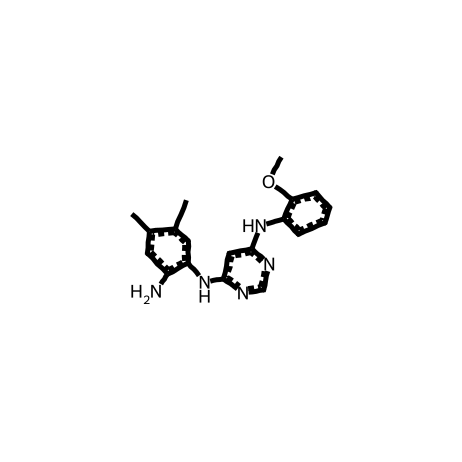 COc1ccccc1Nc1cc(Nc2cc(C)c(C)cc2N)ncn1